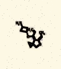 C=C/C(O[C@H]1C[C@H](N)C1)=C1\C(=C/C)OCC12CC2